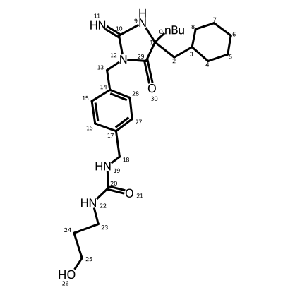 CCCCC1(CC2CCCCC2)NC(=N)N(Cc2ccc(CNC(=O)NCCCO)cc2)C1=O